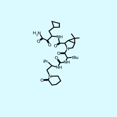 CC(C)C(CN1CCCCC1=O)NC(=O)NC(C(=O)N1CC2C(C1C(=O)NC(CC1CCC1)C(=O)C(N)=O)C2(C)C)C(C)(C)C